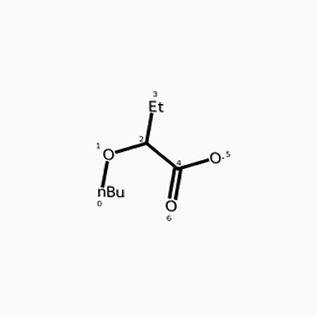 CCCCOC(CC)C([O])=O